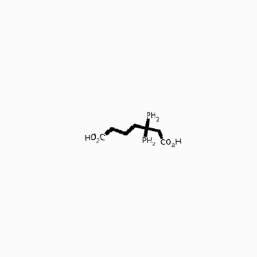 O=C(O)CCCC(P)(P)CC(=O)O